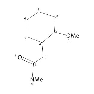 CNC(=O)CC1CCCCC1OC